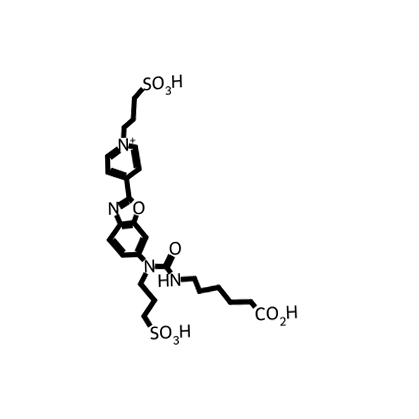 O=C(O)CCCCCNC(=O)N(CCCS(=O)(=O)O)c1ccc2nc(-c3cc[n+](CCCS(=O)(=O)O)cc3)oc2c1